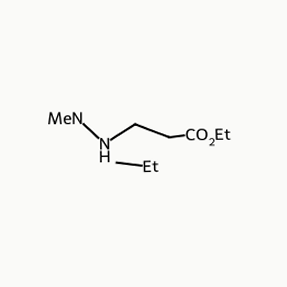 CCC.CCOC(=O)CCNNC